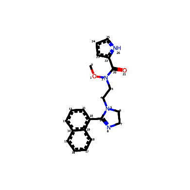 CON(CCN1CCN=C1c1cccc2ccccc12)C(=O)c1ccc[nH]1